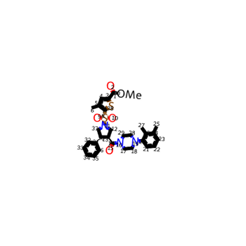 COC(=O)c1cc(C)c(S(=O)(=O)N2C[C@@H](C(=O)N3CCN(c4cccc(C)c4C)CC3)[C@H](c3ccccc3)C2)s1